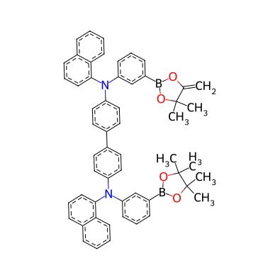 C=C1OB(c2cccc(N(c3ccc(-c4ccc(N(c5cccc(B6OC(C)(C)C(C)(C)O6)c5)c5cccc6ccccc56)cc4)cc3)c3cccc4ccccc34)c2)OC1(C)C